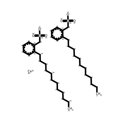 CCCCCCCCCCCCc1ccccc1CS(=O)(=O)[O-].CCCCCCCCCCCCc1ccccc1CS(=O)(=O)[O-].[Ca+2]